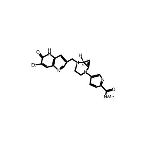 CCc1cc2ncc(CN3CCN(c4ccc(C(=O)NC)nc4)C4=C[C@H]43)cc2[nH]c1=O